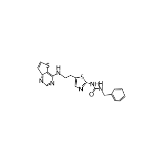 O=C(NCc1ccccc1)Nc1ncc(CCNc2ncnc3ccsc23)s1